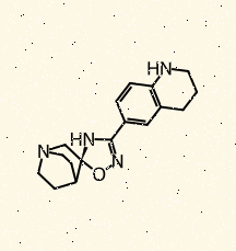 c1cc2c(cc1C1=NO[C@]3(CN4CCC3CC4)N1)CCCN2